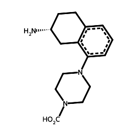 N[C@@H]1CCc2cccc(N3CCN(C(=O)O)CC3)c2C1